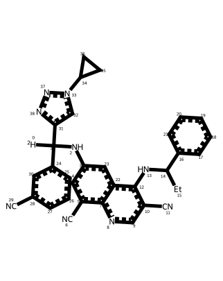 [2H]C(Nc1cc(C#N)c2ncc(C#N)c(NC(CC)c3ccccc3)c2c1)(c1cccc(C#N)c1)c1cn(C2CC2)nn1